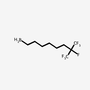 BCCCCCCC(F)(C(F)(F)F)C(F)(F)F